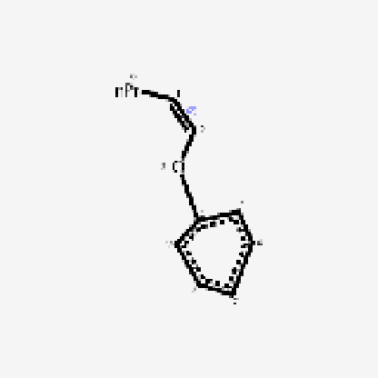 CCC/C=[C]\Oc1ccccc1